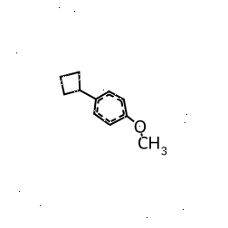 COc1ccc(C2CCC2)cc1